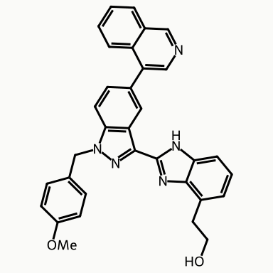 COc1ccc(Cn2nc(-c3nc4c(CCO)cccc4[nH]3)c3cc(-c4cncc5ccccc45)ccc32)cc1